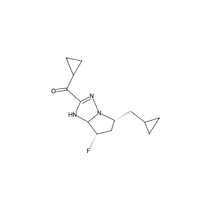 O=C(C1=NN2C(N1)[C@@H](F)C[C@H]2CC1CC1)C1CC1